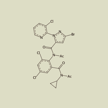 CC(=O)N(C(=O)c1cc(Br)nn1-c1ncccc1Cl)c1c(Cl)cc(Cl)cc1C(=O)N(C(C)=O)C1CC1